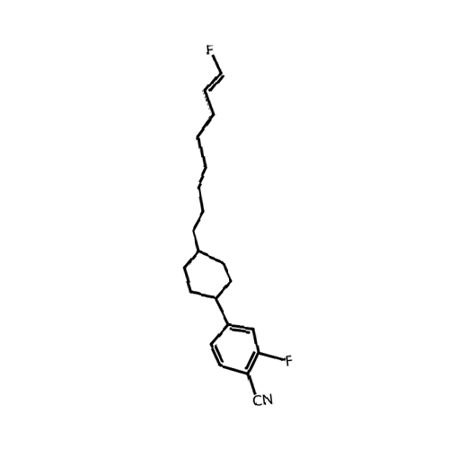 N#Cc1ccc(C2CCC(CCCCCC/C=C/F)CC2)cc1F